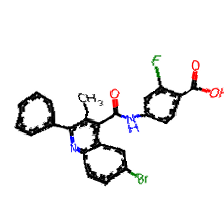 Cc1c(-c2ccccc2)nc2ccc(Br)cc2c1C(=O)Nc1ccc(C(=O)O)c(F)c1